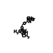 C=CC(=N)/C=C(/C)Nc1ccc(Cc2ccc(C(/C=N\CC(C)C)=C/N=C)cc2)cc1